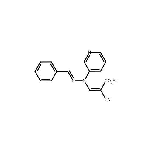 CCOC(=O)/C(C#N)=C\N(/N=C/c1ccccc1)c1cccnc1